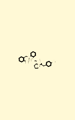 COc1ccc(CC(=O)N2CCC[C@H]2C(=O)Nc2ccccc2SCc2ccccc2Br)cc1